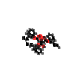 CC1CC2CCCC(OC(=O)CC(O)(CC(=O)OC34CCCC(CC(C)C3)C4)C(=O)OC34CCCC(CC(C)C3)C4)(C1)C2